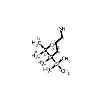 C[Si](C)(C)[Si](C)(CCCS)[Si](C)(C)C